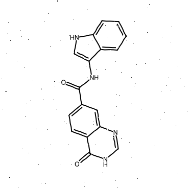 O=C(Nc1c[nH]c2ccccc12)c1ccc2c(=O)[nH]cnc2c1